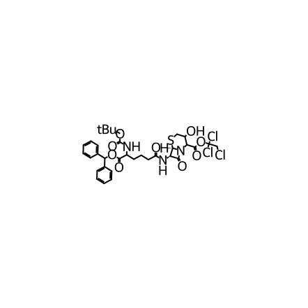 CC(C)(C)OC(=O)NC(CCCC(=O)N[C@@H]1C(=O)N2C(C(=O)OC(Cl)(Cl)CCl)C(O)CS[C@H]12)C(=O)OC(c1ccccc1)c1ccccc1